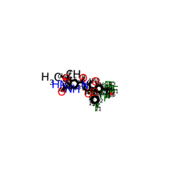 CCC[C@@H](C)C1CC(C(=O)N2CCC3(S(=O)(=O)c4ccc(F)cc4)c4ccc(C(F)(C(F)(F)F)C(F)(F)F)cc4OCC23)CCC12NC(=O)NC2=O